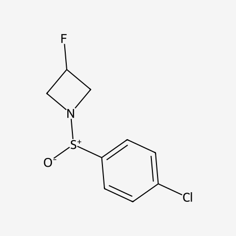 [O-][S+](c1ccc(Cl)cc1)N1CC(F)C1